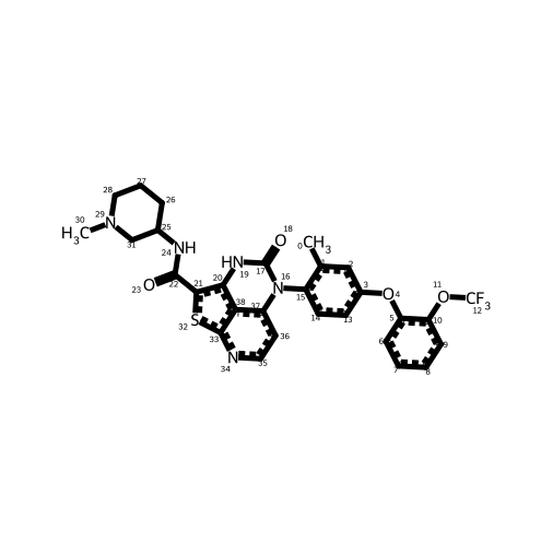 Cc1cc(Oc2ccccc2OC(F)(F)F)ccc1N1C(=O)Nc2c(C(=O)NC3CCCN(C)C3)sc3nccc1c23